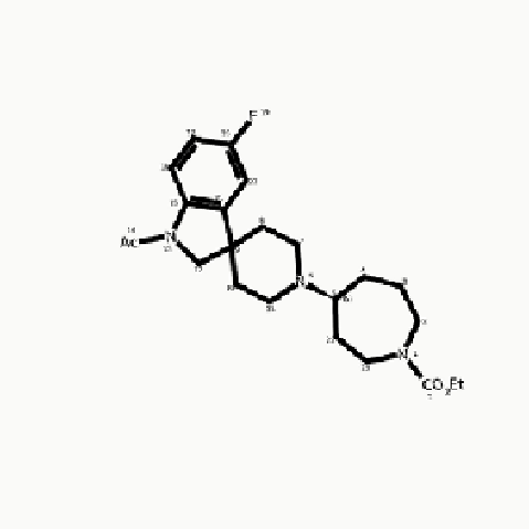 CCOC(=O)N1CCC[C@H](N2CCC3(CC2)CN(C(C)=O)c2ccc(F)cc23)CC1